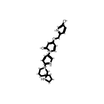 O=c1cc(OCc2ccc(Cl)cn2)ccn1-c1ccc(N2CCCC3(CCCN3)C2)nc1